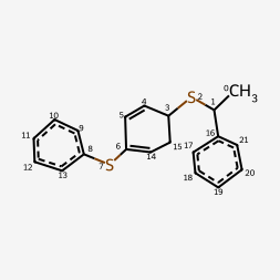 CC(SC1C=CC(Sc2ccccc2)=CC1)c1ccccc1